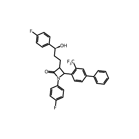 O=C1C(CC[C@H](O)c2ccc(F)cc2)C(c2ccc(-c3ccccc3)cc2C(F)(F)F)N1c1ccc(F)cc1